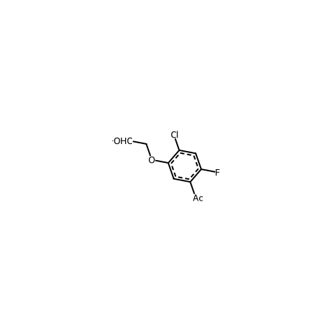 CC(=O)c1cc(OC[C]=O)c(Cl)cc1F